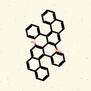 Oc1cc2ccc3ccccc3c2c(-c2ccccc2)c1-c1c(O)cc2ccc3ccccc3c2c1-c1ccccc1